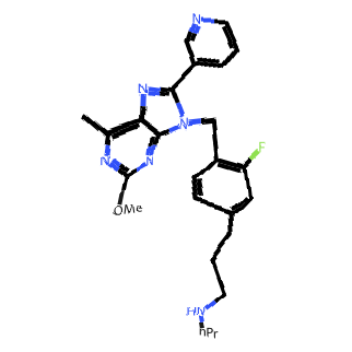 CCCNCCCc1ccc(Cn2c(-c3cccnc3)nc3c(C)nc(OC)nc32)c(F)c1